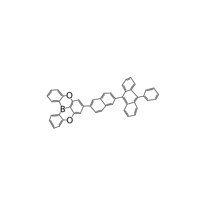 c1ccc(-c2c3ccccc3c(-c3ccc4cc(-c5cc6c7c(c5)Oc5ccccc5B7c5ccccc5O6)ccc4c3)c3ccccc23)cc1